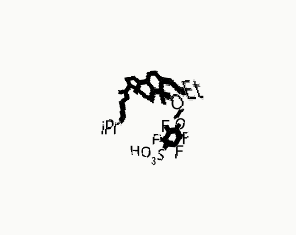 CCC(CC1CCC2C(CCC3(C)C(C(C)CCCC(C)C)CCC23)C1(C)C)OCCOc1c(F)c(F)c(S(=O)(=O)O)c(F)c1F